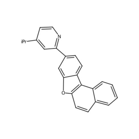 CC(C)c1ccnc(-c2ccc3c(c2)oc2ccc4ccccc4c23)c1